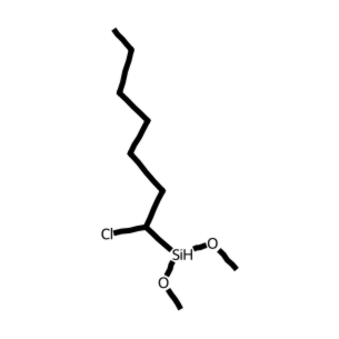 CCCCCCC(Cl)[SiH](OC)OC